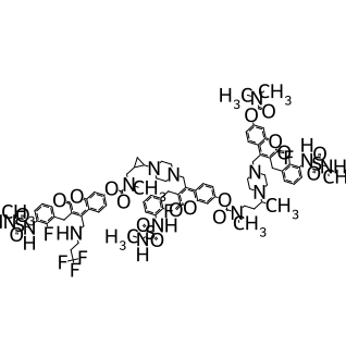 CNS(=O)(=O)Nc1cccc(Cc2c(CNCCC(F)(F)F)c3ccc(OC(=O)N(C)CC4CC4N4CCN(Cc5c(Cc6cccc(NS(=O)(=O)NC)c6F)c(=O)oc6cc(OC(=O)N(C)CCC(C)N7CCN(Cc8c(Cc9cccc(NS(=O)(=O)NC)c9F)c(=O)oc9cc(OC(=O)N(C)C)ccc89)CC7)ccc56)CC4)cc3oc2=O)c1F